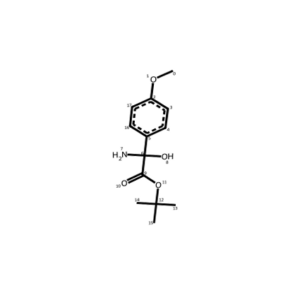 COc1ccc(C(N)(O)C(=O)OC(C)(C)C)cc1